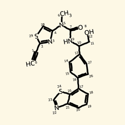 C#Cc1nc(N(C)C(=O)NC(CO)c2ccc(-c3cccc4ncsc34)cc2)cs1